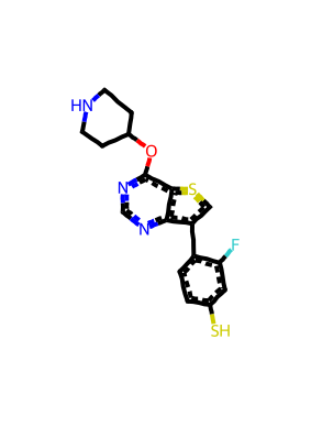 Fc1cc(S)ccc1-c1csc2c(OC3CCNCC3)ncnc12